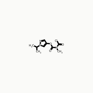 CC(C)n1cc(OC(=O)N(C)C(=O)Cl)cn1